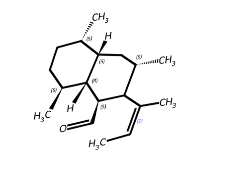 C/C=C(/C)C1[C@@H](C=O)[C@H]2[C@@H](C[C@@H]1C)[C@@H](C)CC[C@@H]2C